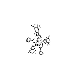 Cc1cc2c(cc1N1c3cc(-c4ccccc4)ccc3Bc3c(-c4c(Nc5ccc6c(c5)C(C)(C)CCC6(C)C)ccc5c4oc4cc6c(cc45)C(C)(C)CCC6(C)C)cc(-c4ccccc4)cc31)C(C)(C)CCC2(C)C